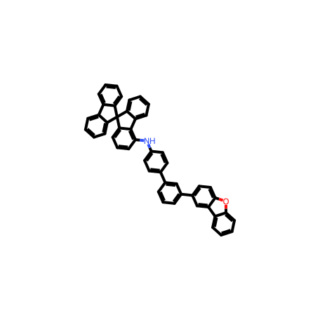 c1cc(-c2ccc(Nc3cccc4c3-c3ccccc3C43c4ccccc4-c4ccccc43)cc2)cc(-c2ccc3oc4ccccc4c3c2)c1